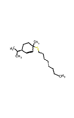 CCCCCCCCSC1(C)C=CC(C(C)C)CC1